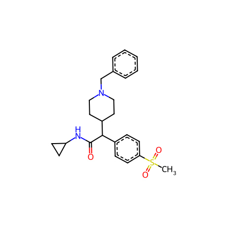 CS(=O)(=O)c1ccc(C(C(=O)NC2CC2)C2CCN(Cc3ccccc3)CC2)cc1